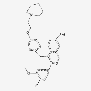 COc1cc(-c2ccc3cc(O)ccc3c2Cc2ccc(OCCN3CCCCC3)cc2)ccc1F